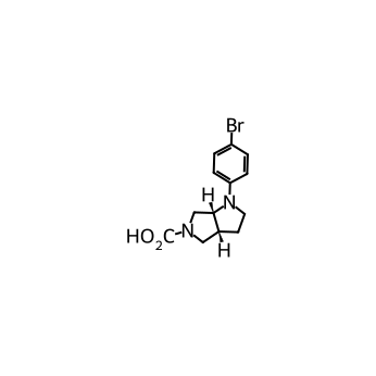 O=C(O)N1C[C@H]2CCN(c3ccc(Br)cc3)[C@H]2C1